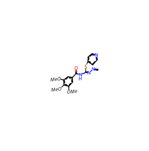 C=N/N=C(/NC(=O)c1cc(OC)c(OC)c(OC)c1)Sc1ccncc1